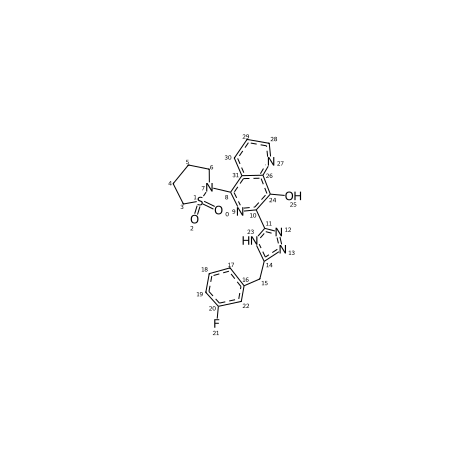 O=S1(=O)CCCCN1c1nc(-c2nnc(Cc3cccc(F)c3)[nH]2)c(O)c2ncccc12